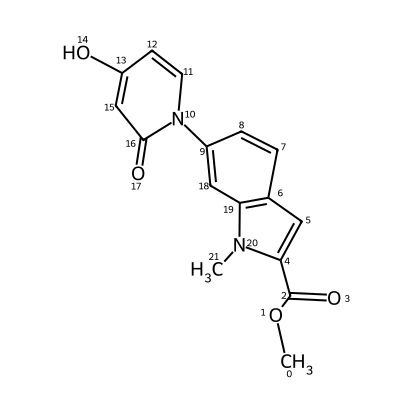 COC(=O)c1cc2ccc(-n3ccc(O)cc3=O)cc2n1C